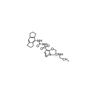 CCN[C@@H]1COc2c(S(=O)(=O)NC(=O)Nc3c4c(cc5c3CCC5)CCC4)cnn2C1